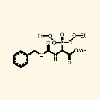 CCOOP(=O)(OOCC)C(NC(=O)OCc1ccccc1)C(=O)OC